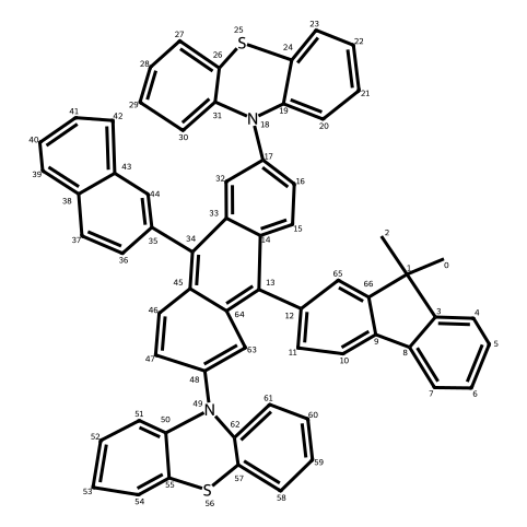 CC1(C)c2ccccc2-c2ccc(-c3c4ccc(N5c6ccccc6Sc6ccccc65)cc4c(-c4ccc5ccccc5c4)c4ccc(N5c6ccccc6Sc6ccccc65)cc34)cc21